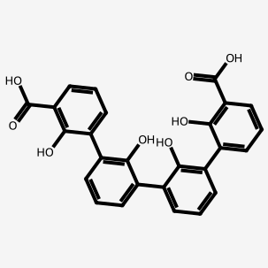 O=C(O)c1cccc(-c2cccc(-c3cccc(-c4cccc(C(=O)O)c4O)c3O)c2O)c1O